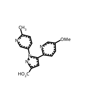 COc1ccc(-c2cc(C(=O)O)nn2-c2ccc(C)nc2)nc1